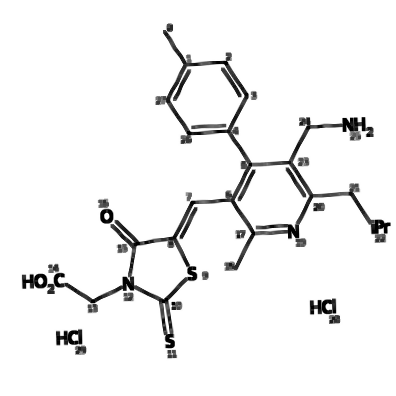 Cc1ccc(-c2c(C=C3SC(=S)N(CC(=O)O)C3=O)c(C)nc(CC(C)C)c2CN)cc1.Cl.Cl